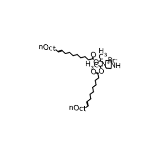 CCCCCCCCC=CCCCCCCCC(=O)OC(C)[N+]1(C(C)OC(=O)CCCCCCCC=CCCCCCCCC)CCNCC1.[Br-]